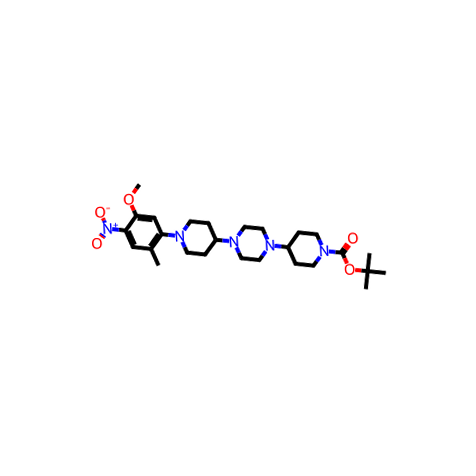 COc1cc(N2CCC(N3CCN(C4CCN(C(=O)OC(C)(C)C)CC4)CC3)CC2)c(C)cc1[N+](=O)[O-]